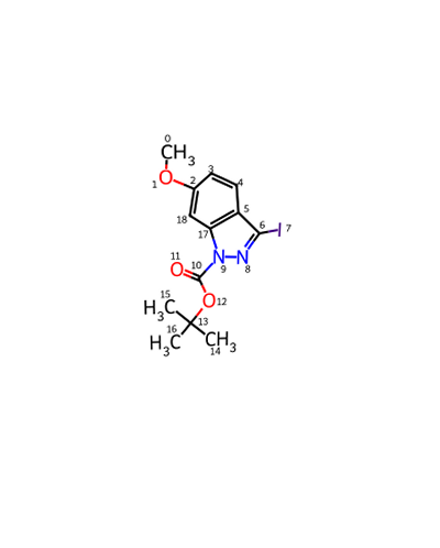 COc1ccc2c(I)nn(C(=O)OC(C)(C)C)c2c1